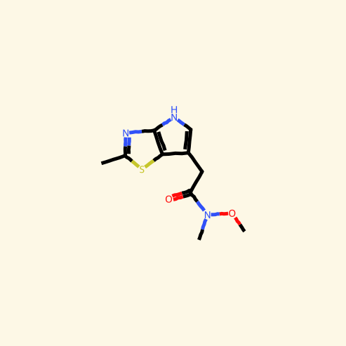 CON(C)C(=O)Cc1c[nH]c2nc(C)sc12